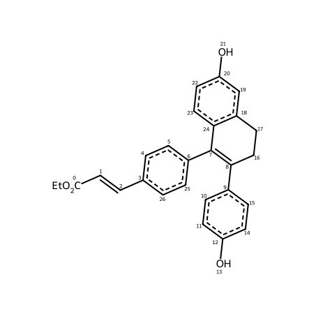 CCOC(=O)C=Cc1ccc(C2=C(c3ccc(O)cc3)CCc3cc(O)ccc32)cc1